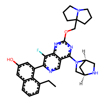 CCc1cccc2cc(O)cc(-c3ncc4c(N5C[C@H]6C[C@@H]5CN6)nc(OCC56CCCN5CCC6)nc4c3F)c12